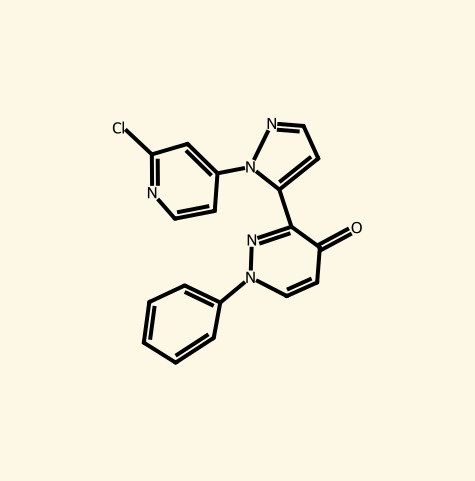 O=c1ccn(-c2ccccc2)nc1-c1ccnn1-c1ccnc(Cl)c1